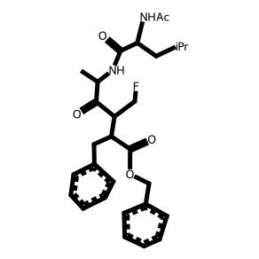 CC(=O)NC(CC(C)C)C(=O)NC(C)C(=O)C(CF)C(Cc1ccccc1)C(=O)OCc1ccccc1